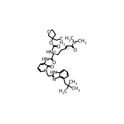 CCC1(OC(=O)N[C@@H](CC/C=C/C(=O)N(C)C)C(=O)Nc2cccn(Cc3nc4c(CC(C)(C)C)cccc4[nH]3)c2=O)CCOC1